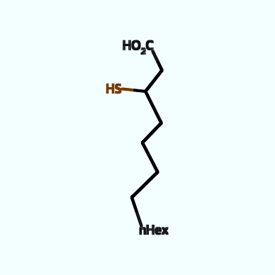 CCCCCCCCCCC(S)CC(=O)O